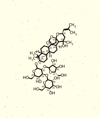 CC(C)=C[C@H]1C[C@](C)(O)C2[C@H]3CC[C@@H]4[C@@]5(C)CC[C@H](OC6O[C@H](CO)[C@@H](O)[C@H](OC7O[C@H](CO)[C@@H](O)[C@H](O)[C@H]7O)[C@H]6OC6O[C@@H](CO)[C@H](O)[C@H]6O)C(C)(C)[C@@H]5CC[C@@]4(C)[C@@]34CO[C@@]2(C4)O1